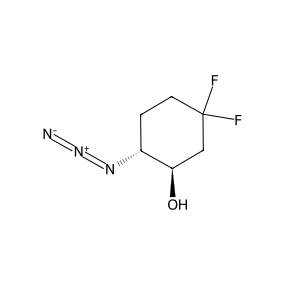 [N-]=[N+]=N[C@@H]1CCC(F)(F)C[C@H]1O